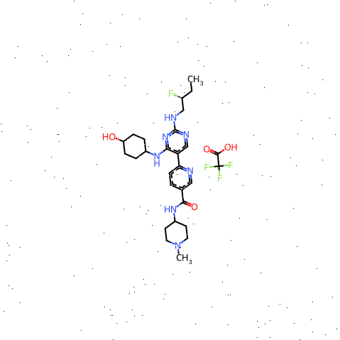 CC[C@H](F)CNc1ncc(-c2ccc(C(=O)NC3CCN(C)CC3)cn2)c(NC2CCC(O)CC2)n1.O=C(O)C(F)(F)F